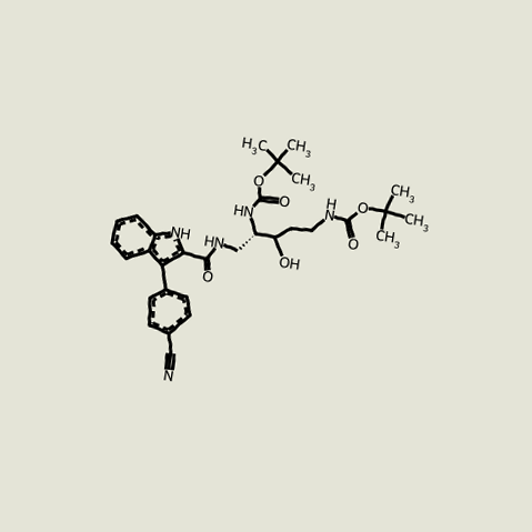 CC(C)(C)OC(=O)NCCC(O)[C@H](CNC(=O)c1[nH]c2ccccc2c1-c1ccc(C#N)cc1)NC(=O)OC(C)(C)C